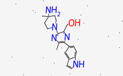 Cc1nc(N2CCC(C)(N)CC2)c(CO)nc1-c1ccc2[nH]ccc2c1